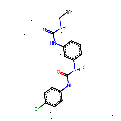 CC(C)CNC(=N)Nc1cccc(NC(=O)Nc2ccc(Cl)cc2)c1.Cl